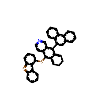 C1=c2c(Sc3cccc4sc5ccccc5c34)c3ccncc3c(-c3cc4ccccc4c4ccccc34)c2=CCC1